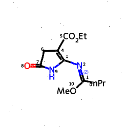 CCC/C(=N/C1=C(C(=O)OCC)CC(=O)N1)OC